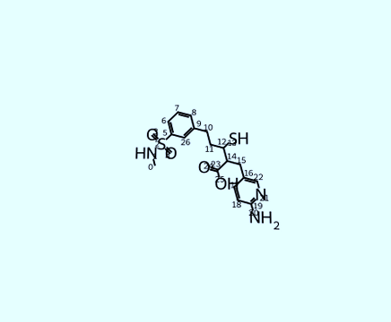 CNS(=O)(=O)c1cccc(CCC(S)C(Cc2ccc(N)nc2)C(=O)O)c1